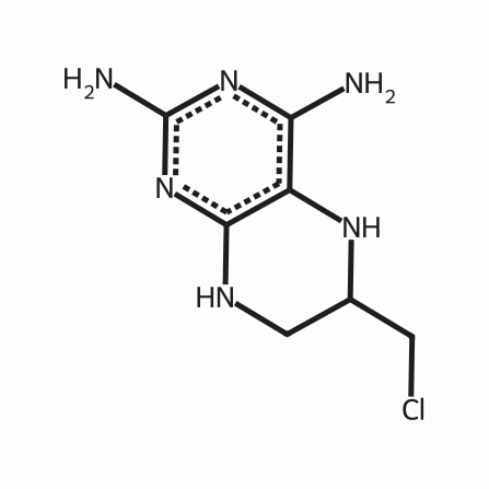 Nc1nc(N)c2c(n1)NCC(CCl)N2